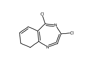 ClC1=C=NC2=C(C=CCC2)C(Cl)=N1